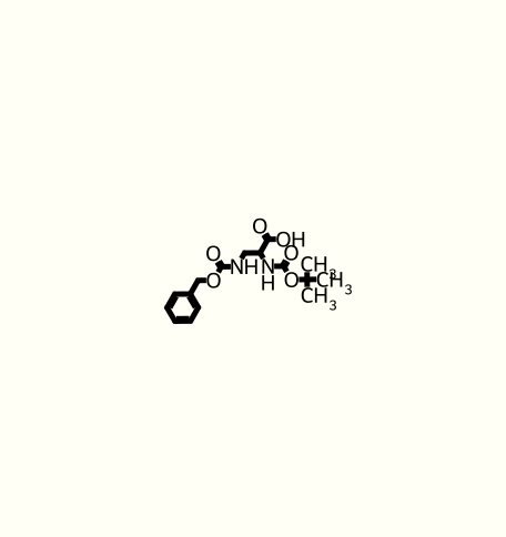 CC(C)(C)OC(=O)NC(CNC(=O)OCc1ccccc1)C(=O)O